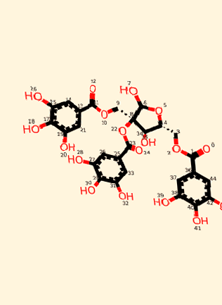 O=C(OC[C@H]1OC(O)[C@](COC(=O)c2cc(O)c(O)c(O)c2)(OC(=O)c2cc(O)c(O)c(O)c2)[C@@H]1O)c1cc(O)c(O)c(O)c1